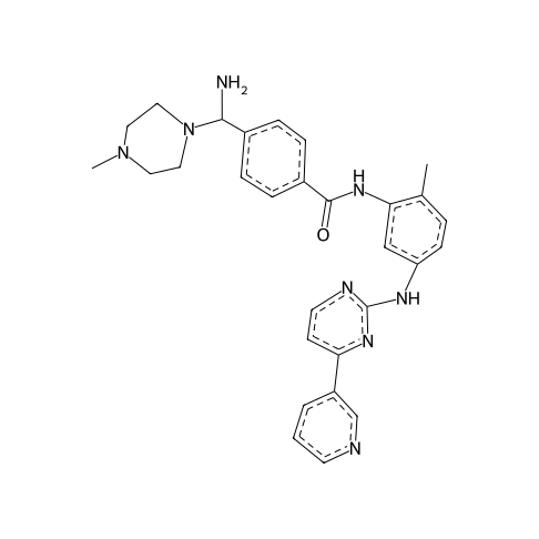 Cc1ccc(Nc2nccc(-c3cccnc3)n2)cc1NC(=O)c1ccc(C(N)N2CCN(C)CC2)cc1